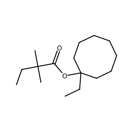 CCC1(OC(=O)C(C)(C)CC)CCCCCCC1